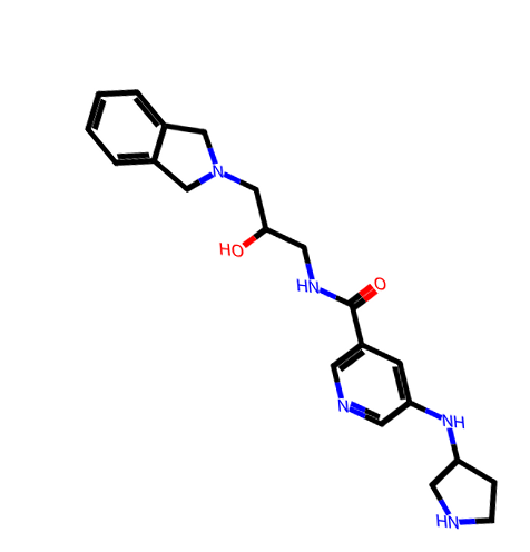 O=C(NCC(O)CN1Cc2ccccc2C1)c1cncc(NC2CCNC2)c1